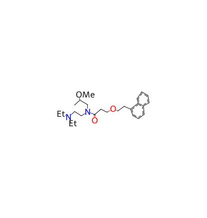 CCN(CC)CCN(CC(C)OC)C(=O)CCOCCc1cccc2ccccc12